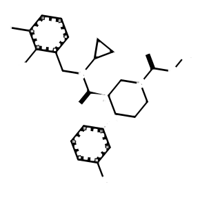 CC(C)(C)OC(=O)N1CC[C@H](c2cccc(Br)c2)[C@@H](C(=O)N(Cc2cccc(Cl)c2Cl)C2CC2)C1